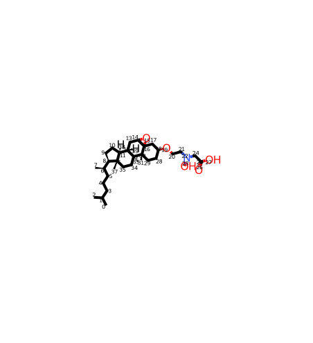 CC(C)CCC[C@@H](C)[C@H]1CC[C@H]2[C@@H]3CC4OC45C[C@@H](OCCN(O)CC(=O)O)CC[C@]5(C)[C@@]3(C)CC[C@]12C